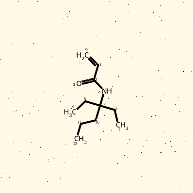 C=CC(=O)NC(CC)(CC)CCC